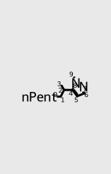 CCCCCCC(C)c1ccnn1C